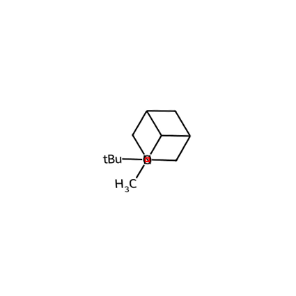 CN1CC2CC(C1)C2OC(C)(C)C